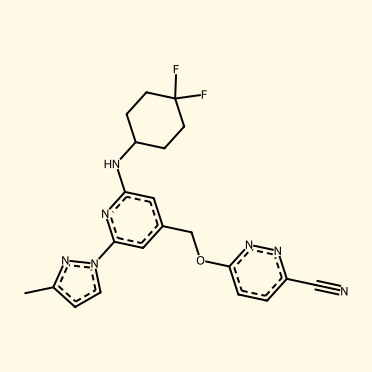 Cc1ccn(-c2cc(COc3ccc(C#N)nn3)cc(NC3CCC(F)(F)CC3)n2)n1